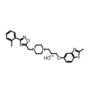 Cc1nc2cc(OC[C@H](O)CN3CCN(Cc4nc(-c5ccccc5F)no4)CC3)ccc2s1